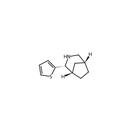 c1csc([C@@H]2NC[C@@H]3CC[C@H]2C3)c1